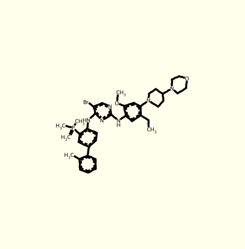 C=P(C)(C)c1cc(-c2ccccc2C)ccc1Nc1nc(Nc2cc(CC)c(N3CCC(N4CCOCC4)CC3)cc2OC)ncc1Br